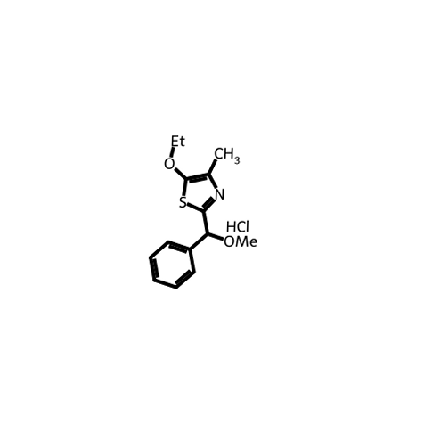 CCOc1sc(C(OC)c2ccccc2)nc1C.Cl